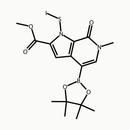 COC(=O)c1cc2c(B3OC(C)(C)C(C)(C)O3)cn(C)c(=O)c2n1SI